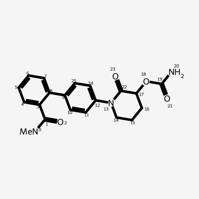 CNC(=O)c1ccccc1-c1ccc(N2CCCC(OC(N)=O)C2=O)cc1